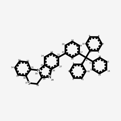 c1ccc(C(c2ccccc2)(c2ccccc2)c2cccc(-c3ccc4c(c3)nc3n4-c4ccccc4SC3)c2)cc1